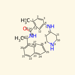 Cc1ccc(NC2CCNCC2)cc1C(=O)NC(C)c1cccc2ccccc12